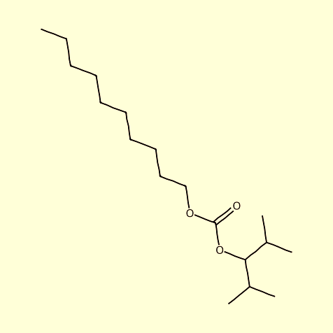 CCCCCCCCCCOC(=O)OC(C(C)C)C(C)C